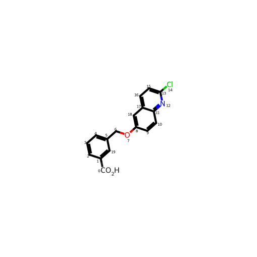 O=C(O)c1cccc(COc2ccc3nc(Cl)ccc3c2)c1